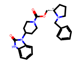 O=C(OC[C@@H]1CCCN1Cc1ccccc1)N1CCC(n2c(=O)[nH]c3ccccc32)CC1